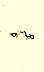 Cc1ccc(S(=O)(=O)ON=C2C=C/C(=C(/C#N)c3ccccc3C)S2)cc1